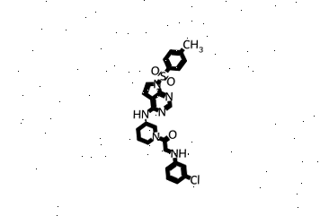 Cc1ccc(S(=O)(=O)n2ccc3c(N[C@H]4CCCN(C(=O)CNc5cccc(Cl)c5)C4)ncnc32)cc1